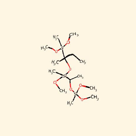 CCC(C)(O[Si](C)(OC)C(C)O[Si](C)(OC)OC)[Si](C)(OC)OC